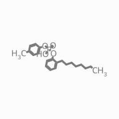 CCCCCCCCc1ccccc1OP(=O)(O)Oc1ccc(C)cc1